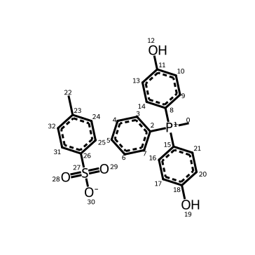 C[P+](c1ccccc1)(c1ccc(O)cc1)c1ccc(O)cc1.Cc1ccc(S(=O)(=O)[O-])cc1